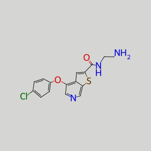 NCCNC(=O)c1cc2c(Oc3ccc(Cl)cc3)cncc2s1